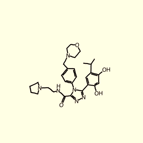 CC(C)c1cc(-c2nnc(C(=O)NCCN3CCCC3)n2-c2ccc(CN3CCOCC3)cc2)c(O)cc1O